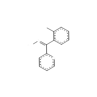 O/N=C(\c1ccccn1)c1ccccc1Cl